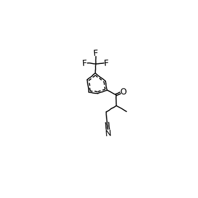 CC(CC#N)C(=O)c1cccc(C(F)(F)F)c1